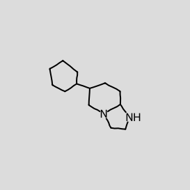 C1CCC(C2CCC3NCCN3C2)CC1